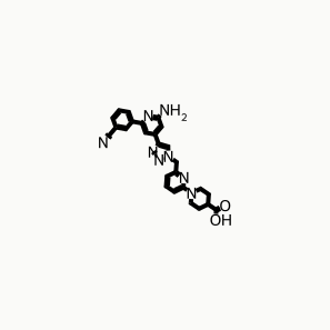 N#Cc1cccc(-c2cc(-c3cn(Cc4cccc(N5CCC(C(=O)O)CC5)n4)nn3)cc(N)n2)c1